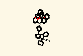 CC1(c2ccccc2)c2ccccc2-c2c(-c3ccc(N(c4ccccc4-c4cccc5cccc(-c6ccccc6)c45)c4cccc5sc6ccccc6c45)cc3)cccc21